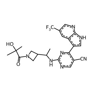 CC(Nc1ncc(C#N)c(-c2c[nH]c3ncc(C(F)(F)F)cc23)n1)C1CN(C(=O)C(C)(C)O)C1